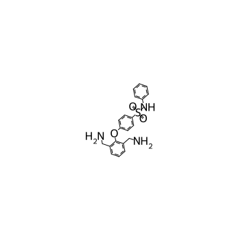 NCc1cccc(CN)c1Oc1ccc(S(=O)(=O)Nc2ccccc2)cc1